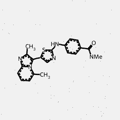 CNC(=O)c1ccc(Nc2ncc(-c3c(C)nc4cccc(C)n34)s2)cc1